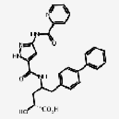 O=C(Nc1cc(C(=O)NC(Cc2ccc(-c3ccccc3)cc2)C[C@@H](O)C(=O)O)[nH]n1)c1ccccn1